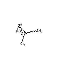 CCCCCCCCCCC(=CC(CC(=O)O)C(=O)O)CCCCCCCC